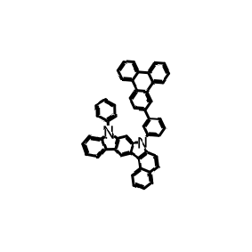 c1ccc(-n2c3ccccc3c3cc4c5c6ccccc6ccc5n(-c5cccc(-c6ccc7c8ccccc8c8ccccc8c7c6)c5)c4cc32)cc1